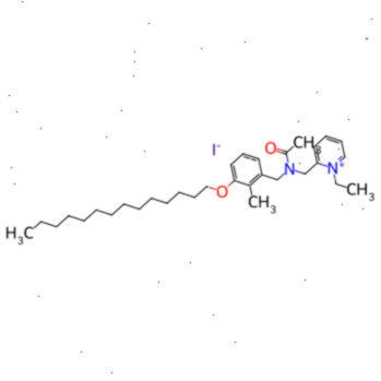 CCCCCCCCCCCCCCOc1cccc(CN(Cc2cccc[n+]2CC)C(C)=O)c1C.[I-]